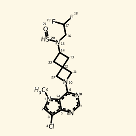 Cn1cc(Cl)c2ncnc(N3CC4(CC(N(CC(F)F)[SH]=O)C4)C3)c21